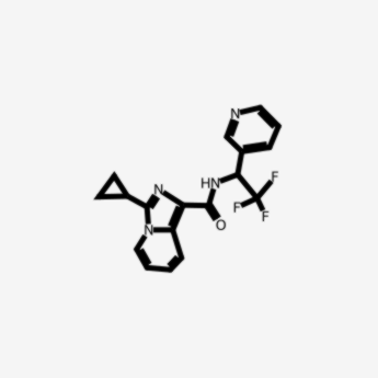 O=C(NC(c1cccnc1)C(F)(F)F)c1nc(C2CC2)n2ccccc12